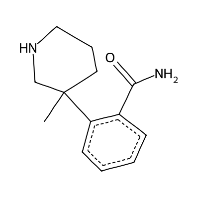 CC1(c2ccccc2C(N)=O)CCCNC1